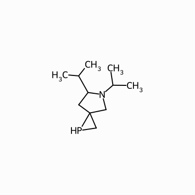 CC(C)C1CC2(CP2)CN1C(C)C